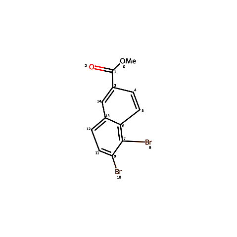 COC(=O)c1ccc2c(Br)c(Br)ccc2c1